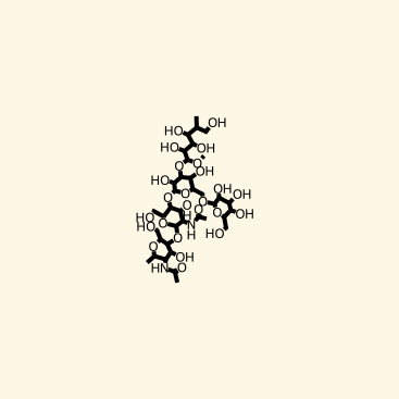 COC(OC1C(O)C(COC2OC(CO)C(O)C(O)C2O)OC(OC2C(CO)OC(OC3C(CO)OC(C)C(NC(C)=O)C3O)C(NC(C)=O)C2O)C1O)C(O)C(O)C(O)C(C)CO